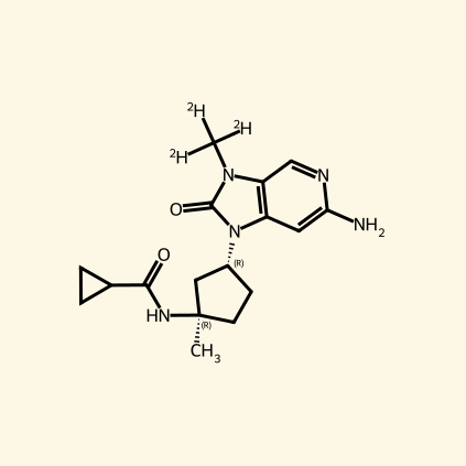 [2H]C([2H])([2H])n1c(=O)n([C@@H]2CC[C@@](C)(NC(=O)C3CC3)C2)c2cc(N)ncc21